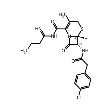 CCCC(=N)NC(=O)C1=C(C)CS[C@@H]2[C@H](NC(=O)Cc3ccc(Cl)cc3)C(=O)N12